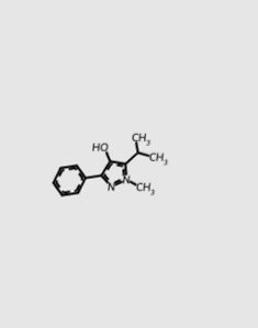 CC(C)c1c(O)c(-c2ccccc2)nn1C